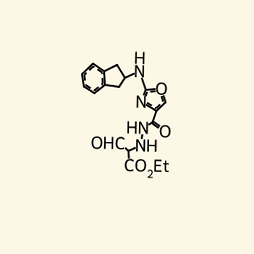 CCOC(=O)C(C=O)NNC(=O)c1coc(NC2Cc3ccccc3C2)n1